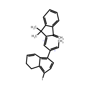 C=C1/C(=C\C(=C/C)c2ccc(I)c3c2C=CCC3)C(C)(C)c2ccccc21